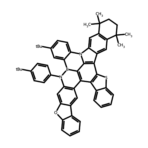 CC(C)(C)c1ccc(N2B3c4cc(C(C)(C)C)ccc4-n4c5cc6c(cc5c5c7sc8ccccc8c7c(c3c54)-c3cc4c(cc32)oc2ccccc24)C(C)(C)CCC6(C)C)cc1